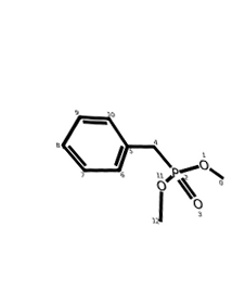 COP(=O)(Cc1cc[c]cc1)OC